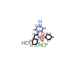 Cl.Cl.O=S(=O)(c1ccccc1)n1c(N2CCNCC2)cc2ccccc21